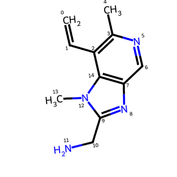 C=Cc1c(C)ncc2nc(CN)n(C)c12